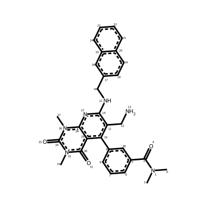 CN(C)C(=O)c1cccc(-c2c(CN)c(NCc3ccc4ccccc4c3)nc3c2c(=O)n(C)c(=O)n3C)c1